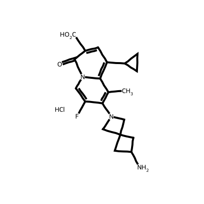 Cc1c(N2CC3(CC(N)C3)C2)c(F)cn2c(=O)c(C(=O)O)cc(C3CC3)c12.Cl